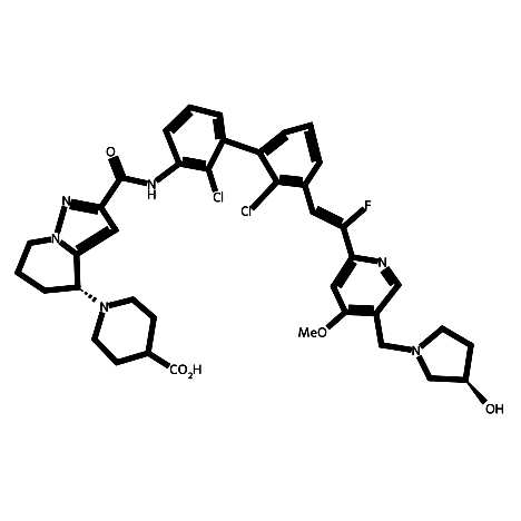 COc1cc(/C(F)=C/c2cccc(-c3cccc(NC(=O)c4cc5n(n4)CCC[C@H]5N4CCC(C(=O)O)CC4)c3Cl)c2Cl)ncc1CN1CC[C@@H](O)C1